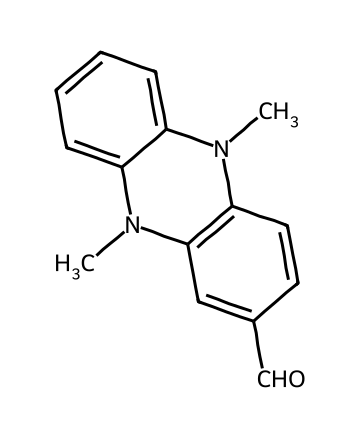 CN1c2ccccc2N(C)c2cc(C=O)ccc21